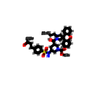 COCCCCC1(CNC(=O)C2CC(NS(=O)(=O)c3ccc(CCC(=O)OC)cc3)CN(C(=O)OC(C)(C)C)C2)c2ccccc2Oc2ccccc21